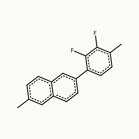 Cc1ccc2cc(-c3ccc(C)c(F)c3F)ccc2c1